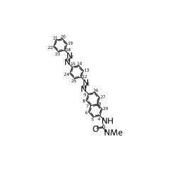 CNC(=O)Nc1ccc2cc(/N=N/c3ccc(/N=N/c4ccccc4)cc3)ccc2c1